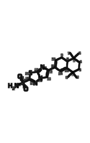 CC1(C)CCC(C)(C)C2CC=C(c3cn4nc(S(N)(=O)=O)sc4n3)C=C21